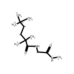 CNC(=O)CNC(=O)C(C)(C)CCC(C)(C)C